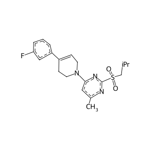 Cc1cc(N2CC=C(c3cccc(F)c3)CC2)nc(S(=O)(=O)CC(C)C)n1